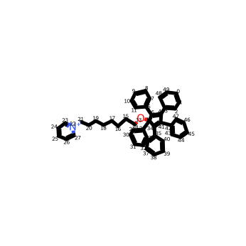 c1ccc(C2=C(c3ccccc3)C(OCCCCCCCC[n+]3ccccc3)(c3ccccc3)C(c3ccccc3)=C2c2ccccc2)cc1